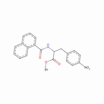 CC(C)OC(=O)C(Cc1ccc([N+](=O)[O-])cc1)NC(=O)c1cccc2ccccc12